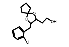 OCCC1OC2(CCCC2)OC1Cc1ccccc1Cl